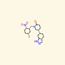 O=c1ccc(-c2ccc3cn[nH]c3c2)cn1Cc1cc(F)ccc1[N+](=O)[O-]